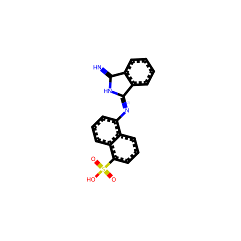 N=C1N/C(=N\c2cccc3c(S(=O)(=O)O)cccc23)c2ccccc21